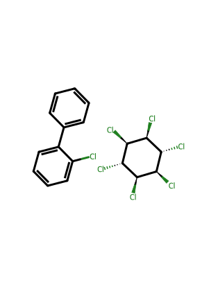 Cl[C@H]1[C@H](Cl)[C@@H](Cl)[C@@H](Cl)[C@H](Cl)[C@H]1Cl.Clc1ccccc1-c1ccccc1